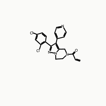 C=CC(=O)N1CCn2nc(-c3ccc(Cl)cc3Cl)c(-c3ccncc3)c2C1